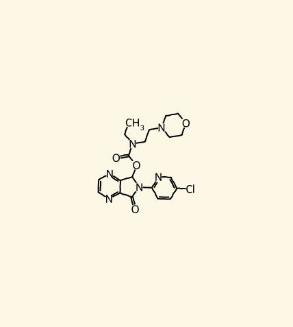 CCN(CCN1CCOCC1)C(=O)OC1c2nccnc2C(=O)N1c1ccc(Cl)cn1